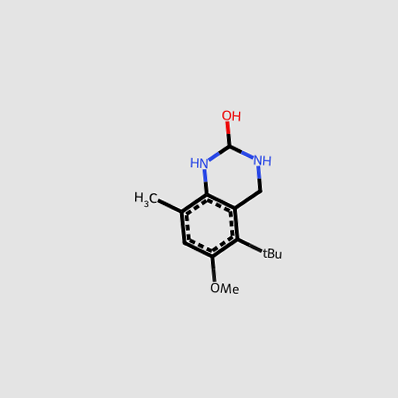 COc1cc(C)c2c(c1C(C)(C)C)CNC(O)N2